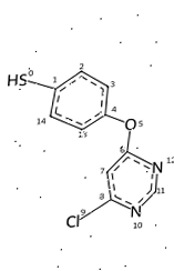 Sc1ccc(Oc2cc(Cl)ncn2)cc1